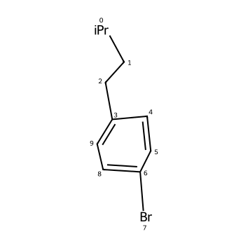 CC(C)CCc1ccc(Br)cc1